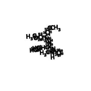 COc1ccc(C(c2ccc(OC)cc2)N2CCN(CC(O)c3nc(-c4ccccc4)[nH]c3C)CC2)cc1.Cl.Cl.Cl